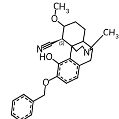 COC1CCC2C3Cc4ccc(OCc5ccccc5)c(O)c4C2(CCN3C)[C@H]1C#N